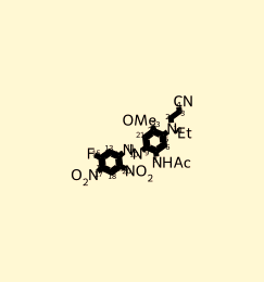 CCN(CCC#N)c1cc(NC(C)=O)c(/N=N/c2cc(F)c([N+](=O)[O-])cc2[N+](=O)[O-])cc1OC